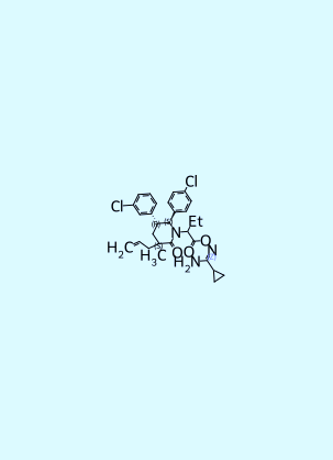 C=CC[C@@]1(C)C[C@H](c2cccc(Cl)c2)[C@@H](c2ccc(Cl)cc2)N(C(CC)C(=O)O/N=C(\N)C2CC2)C1=O